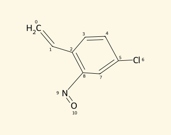 C=Cc1ccc(Cl)cc1N=O